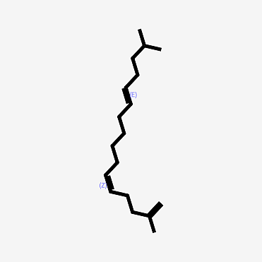 C=C(C)CC/C=C\CCCC/C=C/CCC(C)C